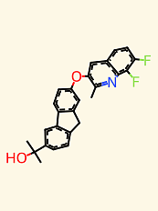 Cc1nc2c(F)c(F)ccc2cc1Oc1ccc2c(c1)Cc1ccc(C(C)(C)O)cc1-2